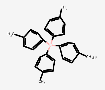 Cc1ccc([B-](c2ccc(C)cc2)(c2ccc(C)cc2)c2ccc(C)cc2)cc1.[Li+]